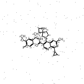 COc1cc([C@H](C)NC(=O)c2cnc3c(C4CC4)nc(C)cc3c2N2CCC3(CCN3)C2)ccc1F